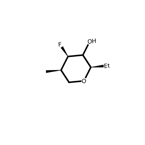 CC[C@H]1OC[C@@H](C)[C@@H](F)C1O